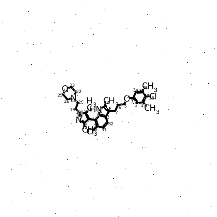 Cc1cc(OCCCc2c(C)[nH]c3c(-c4c(C)nn(CCN5CCOCC5)c4C)c(Cl)ccc23)cc(C)c1Cl